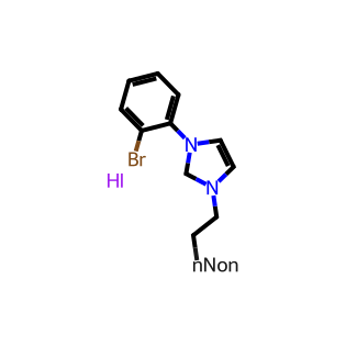 CCCCCCCCCCCN1C=CN(c2ccccc2Br)C1.I